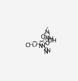 CCN1CCC(CO)(NC(=O)c2cc(-c3ccc(Cl)cc3)nn(-c3cnn(C)c3)c2=O)CC1